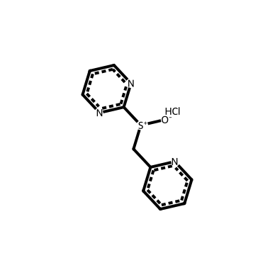 Cl.[O-][S+](Cc1ccccn1)c1ncccn1